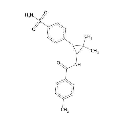 Cc1ccc(C(=O)NC2C(c3ccc(S(N)(=O)=O)cc3)C2(C)C)cc1